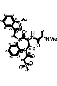 CN[C@@H](C)C(=O)N[C@@H]1C(=O)N(Cc2nn(C)c3ccccc23)c2ccccc2N(C(=O)CS(C)(=O)=O)[C@H]1C